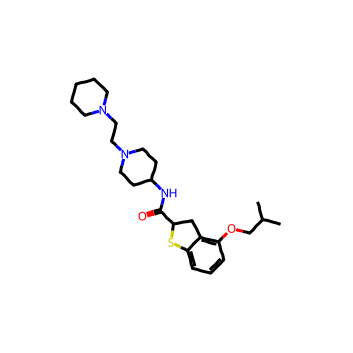 CC(C)COc1cccc2c1CC(C(=O)NC1CCN(CCN3CCCCC3)CC1)S2